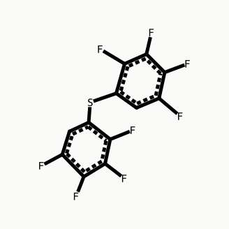 Fc1cc(Sc2cc(F)c(F)c(F)c2F)c(F)c(F)c1F